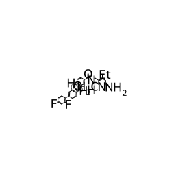 CCc1cc(N)nc(C)c1CNC(=O)c1ccc2c(c1)[C@@H]1O[C@H]2c2cc(-c3ccc(F)cc3F)ccc21